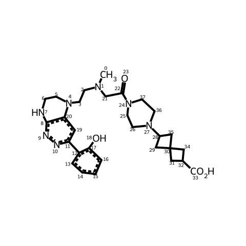 CN(CCN1CCNc2nnc(-c3ccccc3O)cc21)CC(=O)N1CCN(C2CC3(CC(C(=O)O)C3)C2)CC1